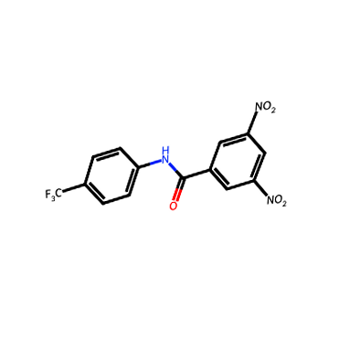 O=C(Nc1ccc(C(F)(F)F)cc1)c1cc([N+](=O)[O-])cc([N+](=O)[O-])c1